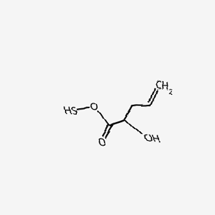 C=CCC(O)C(=O)OS